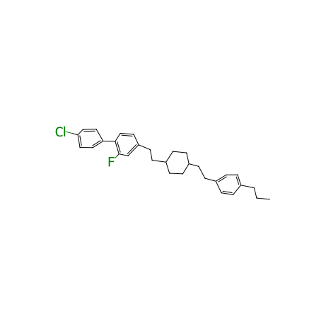 CCCc1ccc(CCC2CCC(CCc3ccc(-c4ccc(Cl)cc4)c(F)c3)CC2)cc1